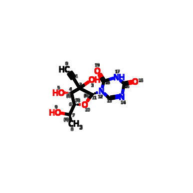 C#CC1(O)[C@@H](O)[C@@H]([C@@H](C)O)O[C@H]1n1cnc(=O)[nH]c1=O